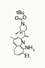 C=C(C1=NC2=C(N)C(CC)=CCCC2=CC(C)=C1)C1CCN(C(=O)OC(C)(C)C)C[C@@H]1C